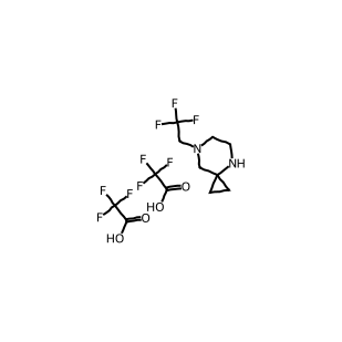 FC(F)(F)CN1CCNC2(CC2)C1.O=C(O)C(F)(F)F.O=C(O)C(F)(F)F